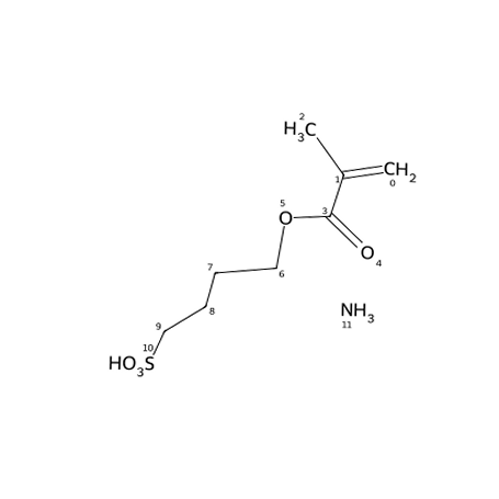 C=C(C)C(=O)OCCCCS(=O)(=O)O.N